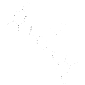 CC(=O)[O-].CC(=O)[O-].CC(C)(C)c1cc(C=Nc2ccc(N=Cc3cc(C(C)(C)C)cc(C(C)(C)C)c3O)cc2)c(O)c(C(C)(C)C)c1.[Co+2]